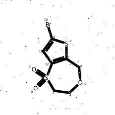 O=S1(=O)CCOCc2sc(Br)cc21